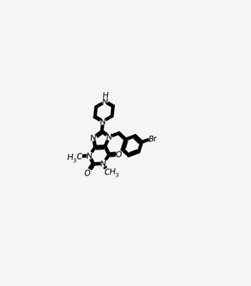 Cn1c(=O)c2c(nc(N3CCNCC3)n2Cc2cccc(Br)c2)n(C)c1=O